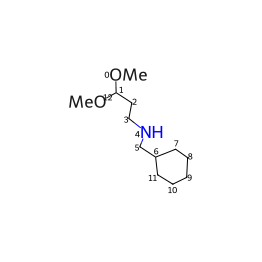 COC(CCNCC1CCCCC1)OC